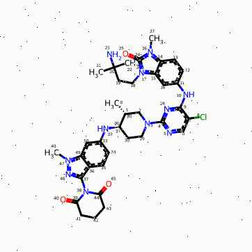 C[C@@H]1CN(c2ncc(Cl)c(Nc3ccc4c(c3)n(CCC(C)(C)N)c(=O)n4C)n2)CC[C@H]1Nc1ccc2c(N3C(=O)CCCC3=O)nn(C)c2c1